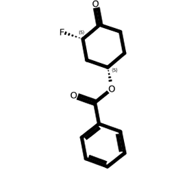 O=C(O[C@H]1CCC(=O)[C@@H](F)C1)c1ccccc1